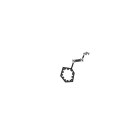 CCCN=Nc1ccccc1